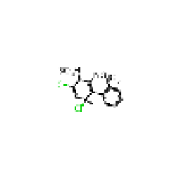 CC1(Cl)C=C(Cl)C(S(=O)(=O)O)C([N+](=O)[O-])=C1c1ccccc1[N+](=O)[O-]